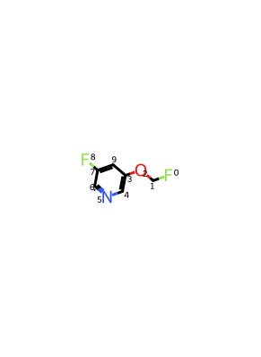 FCOc1cn[c]c(F)c1